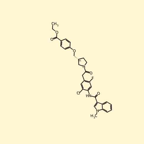 CCOC(=O)c1ccc(OC[C@@H]2CCN(C(=O)Cc3cc(Cl)c(NC(=O)c4cn(C)c5ccccc45)cc3F)C2)cc1